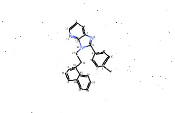 Cc1ccc(-c2nc3cccnc3n2CCc2cccc3ccccc23)cc1